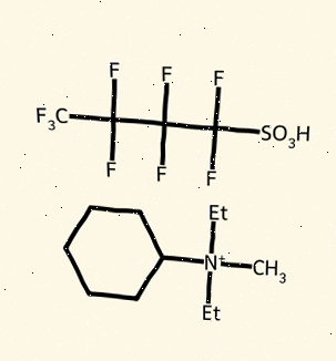 CC[N+](C)(CC)C1CCCCC1.O=S(=O)(O)C(F)(F)C(F)(F)C(F)(F)C(F)(F)F